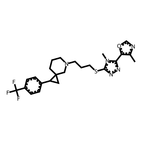 Cc1ncoc1-c1nnc(SCCCN2CCCC3(CC3c3ccc(C(F)(F)F)cc3)C2)n1C